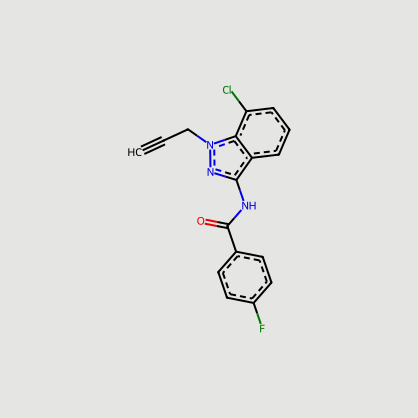 C#CCn1nc(NC(=O)c2ccc(F)cc2)c2cccc(Cl)c21